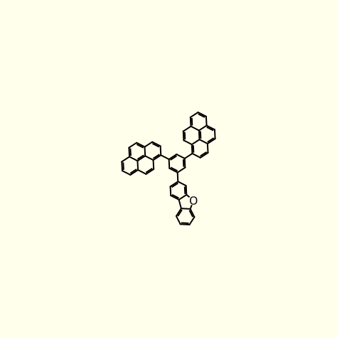 c1cc2ccc3ccc(-c4cc(-c5ccc6c(c5)oc5ccccc56)cc(-c5ccc6ccc7cccc8ccc5c6c78)c4)c4ccc(c1)c2c34